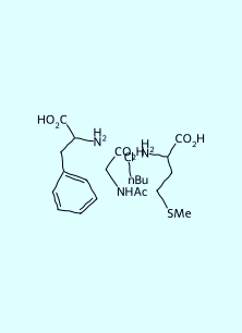 CC(=O)NCC(=O)O.CCCCCl.CSCCC(N)C(=O)O.NC(Cc1ccccc1)C(=O)O